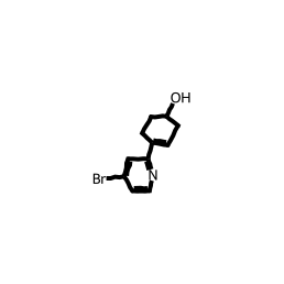 OC1CC=C(c2cc(Br)ccn2)CC1